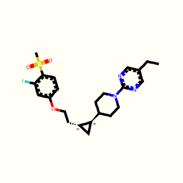 CCc1cnc(N2CCC([C@H]3C[C@@H]3CCOc3ccc(S(C)(=O)=O)c(F)c3)CC2)nc1